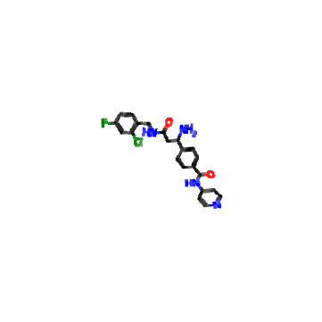 NC(CC(=O)NCc1ccc(F)cc1Cl)c1ccc(C(=O)Nc2ccncc2)cc1